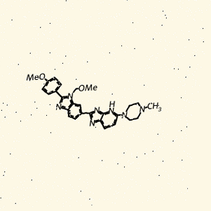 COCn1c(-c2ccc(OC)cc2)nc2ccc(-c3nc4ccc(N5CCN(C)CC5)[nH]c-4n3)cc21